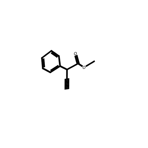 C#CC(C(=O)OC)c1ccccc1